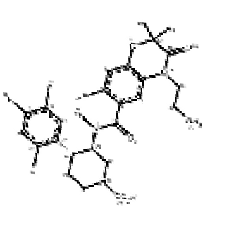 CCN(C(=O)c1cc2c(cc1F)OC(C)(C)C(=O)N2CCN)[C@H]1CN(C(=O)O)CC[C@@H]1c1cc(F)c(F)cc1F